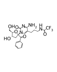 Nc1nc(=O)n([C@@]2(C(=O)c3ccccc3)C[C@H](O)[C@@H](CO)O2)cc1CCCNC(=O)C(F)(F)F